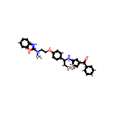 CN(CCOc1ccc(C(CC(=O)O)Nc2cc(C(=O)c3ccccc3)cs2)cc1)c1nc2ccccc2o1